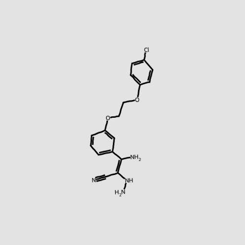 N#C/C(NN)=C(/N)c1cccc(OCCOc2ccc(Cl)cc2)c1